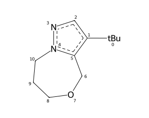 CC(C)(C)c1cnn2c1COCCC2